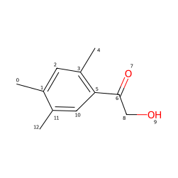 Cc1cc(C)c(C(=O)CO)cc1C